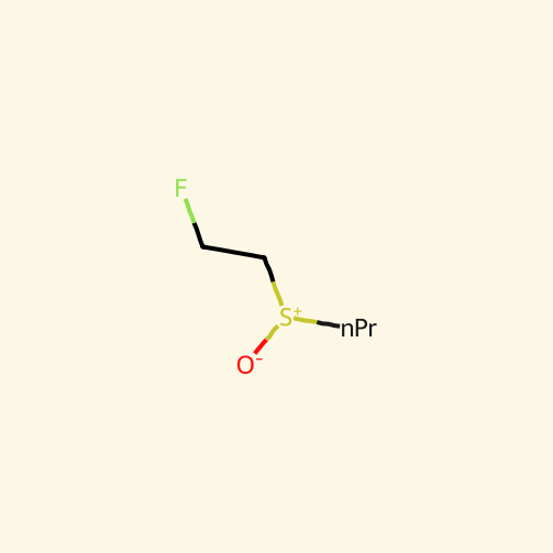 CCC[S+]([O-])CCF